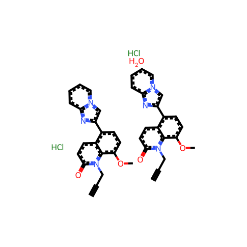 C#CCn1c(=O)ccc2c(-c3cn4ccccc4n3)ccc(OC)c21.C#CCn1c(=O)ccc2c(-c3cn4ccccc4n3)ccc(OC)c21.Cl.Cl.O